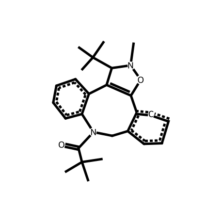 CN1OC2=C(c3ccccc3N(C(=O)C(C)(C)C)Cc3ccccc32)C1C(C)(C)C